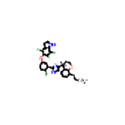 C[C@@]1(c2c[nH]c(-c3cc(Oc4c(F)c(F)c5[nH]ccc5c4F)ccc3F)n2)CCOc2c(CCC(=O)O)cccc21